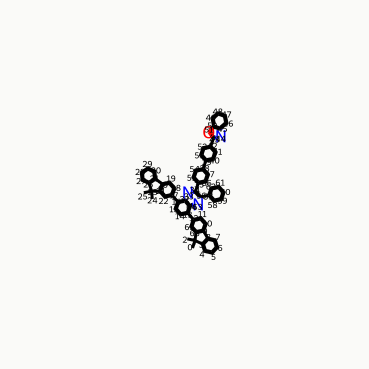 CC1(C)c2ccccc2-c2ccc(-c3ccc(-c4ccc5c(c4)C(C)(C)c4ccccc4-5)c4nc(-c5ccc(-c6ccc(-c7nc8ccccc8o7)cc6)cc5)c(-c5ccccc5)nc34)cc21